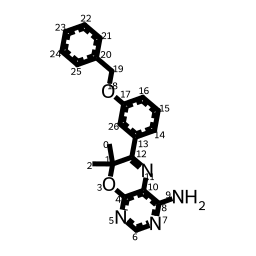 CC1(C)Oc2ncnc(N)c2N=C1c1cccc(OCc2ccccc2)c1